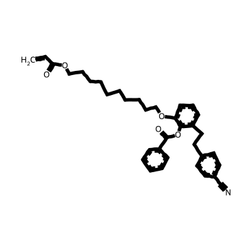 C=CC(=O)OCCCCCCCCCCOc1cccc(CCc2ccc(C#N)cc2)c1OC(=O)c1ccccc1